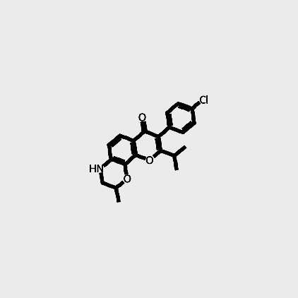 CC1CNc2ccc3c(=O)c(-c4ccc(Cl)cc4)c(C(C)C)oc3c2O1